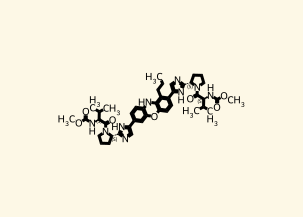 CCCc1c(-c2cnc([C@@H]3CCCN3C(=O)[C@@H](NC(=O)OC)C(C)C)[nH]2)ccc2c1Nc1ccc(-c3cnc([C@@H]4CCCN4C(=O)[C@@H](NC(=O)OC)C(C)C)[nH]3)cc1O2